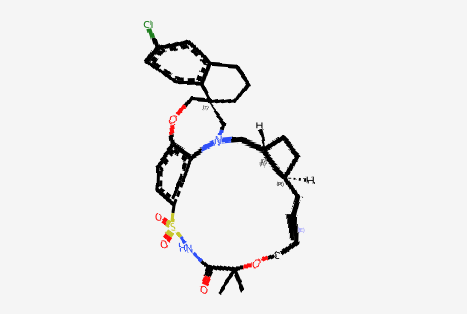 CC1(C)OC/C=C/[CH][C@@H]2CC[C@H]2CN2C[C@@]3(CCCc4cc(Cl)ccc43)COc3ccc(cc32)S(=O)(=O)NC1=O